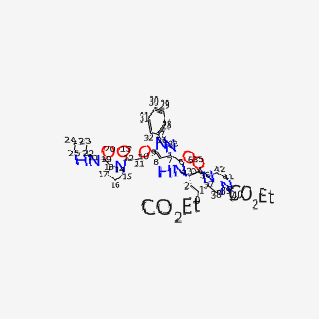 CCOC(=O)CC[C@H](NC(=O)c1cc(OCC(=O)N2CCC[C@H]2C(=O)NC2CCC2)n(-c2ccccc2)n1)C(=O)N1CCN(C(=O)OCC)CC1